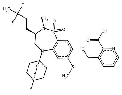 CSc1cc2c(cc1OCc1cccnc1C(=O)O)S(=O)(=O)N(C)[C@H](CCC(C)(F)F)CN2C12CCC(F)(CC1)CC2